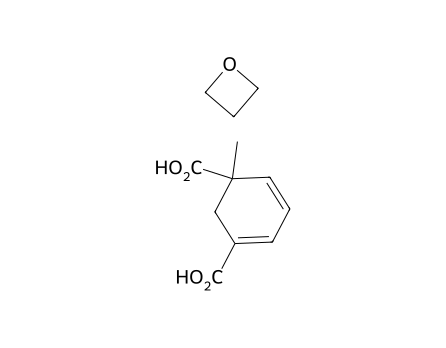 C1COC1.CC1(C(=O)O)C=CC=C(C(=O)O)C1